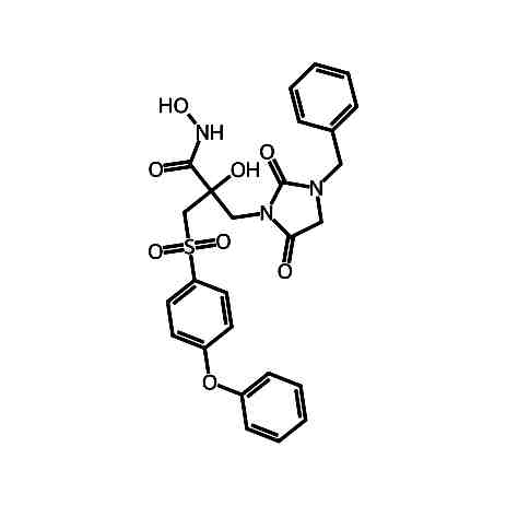 O=C1CN(Cc2ccccc2)C(=O)N1CC(O)(CS(=O)(=O)c1ccc(Oc2ccccc2)cc1)C(=O)NO